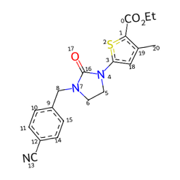 CCOC(=O)c1sc(N2CCN(Cc3ccc(C#N)cc3)C2=O)cc1C